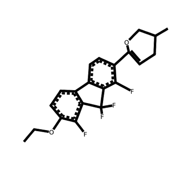 CCOc1ccc2c(c1F)C(F)(F)c1c-2ccc(C2=CCC(C)CO2)c1F